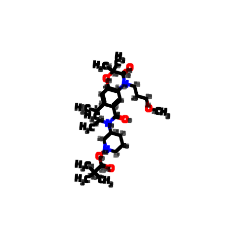 CCc1cc2c(cc1C(=O)N(C(C)C)C1CCCN(OC(=O)C(C)(C)C)C1)N(CCCOC)C(=O)C(C)(C)O2